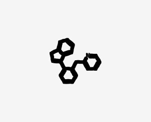 C1=C(c2ccccc2Cc2ccccn2)c2ccccc2C1